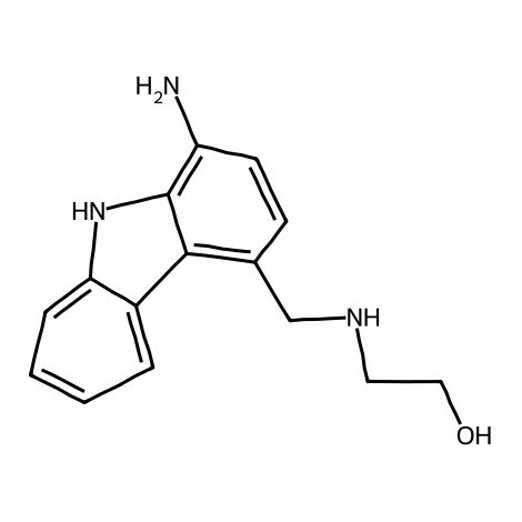 Nc1ccc(CNCCO)c2c1[nH]c1ccccc12